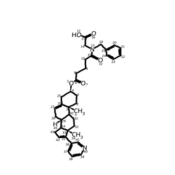 C[C@]12CC[C@H](OC(=O)CCCC(=O)N(CC(=O)O)Cc3ccccc3)CC1=CC[C@@H]1C2CC[C@]2(C)C(c3cccnc3)=CCC12